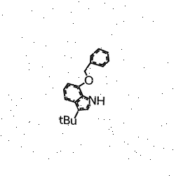 CC(C)(C)c1c[nH]c2c(OCc3ccccc3)cccc12